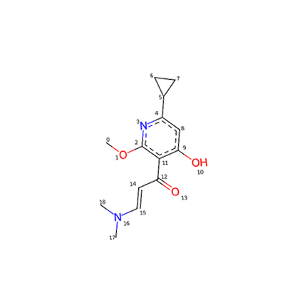 COc1nc(C2CC2)cc(O)c1C(=O)C=CN(C)C